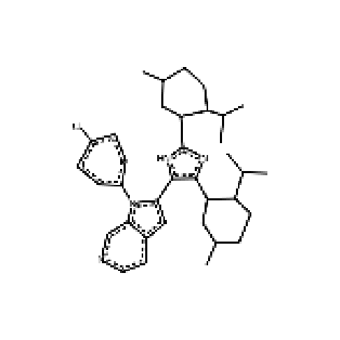 CC1CCC(C(C)C)C(c2nc(C3CC(C)CCC3C(C)C)c(-c3cc4ccncc4n3-c3ccc(Cl)cc3)[nH]2)C1